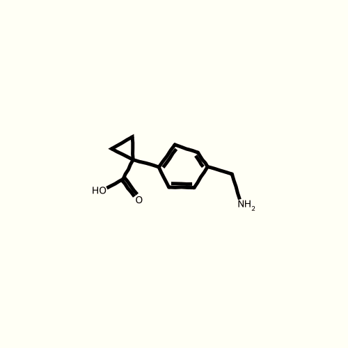 NCc1ccc(C2(C(=O)O)CC2)cc1